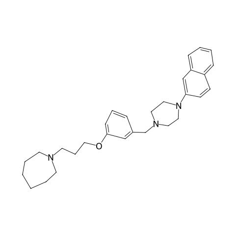 c1cc(CN2CCN(c3ccc4ccccc4c3)CC2)cc(OCCCN2CCCCCC2)c1